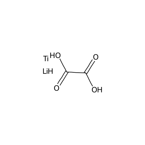 O=C(O)C(=O)O.[LiH].[Ti]